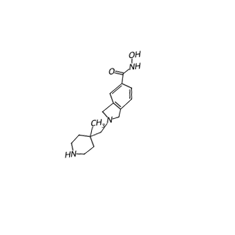 CC1(CN2Cc3ccc(C(=O)NO)cc3C2)CCNCC1